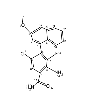 COc1cc(-c2c(Cl)cc(C(N)=O)c(N)c2F)c2ccccc2c1